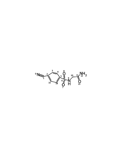 N#Cc1ccc(S(=O)(=O)NCC(N)=O)cc1